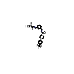 O=C(/C=C/c1cccc(/C=C/C(=O)N2CCN(c3ccc(C(F)(F)F)cc3)CC2)c1)NO